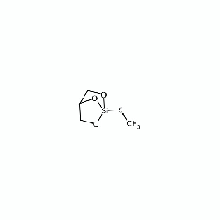 CS[Si]12OCC(CO1)O2